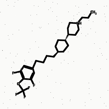 CCC[SiH]1CCC([C@H]2CC[C@H](CCCCc3cc(F)c(OC(F)(F)F)c(F)c3)CC2)CC1